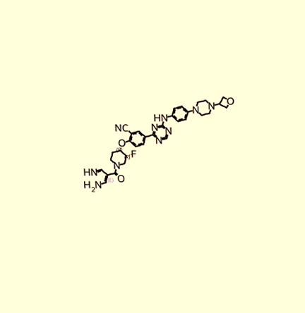 N#Cc1cc(-c2ncnc(Nc3ccc(N4CCN(C5COC5)CC4)cc3)n2)ccc1O[C@H]1CCN(C(=O)/C(C=N)=C/N)C[C@H]1F